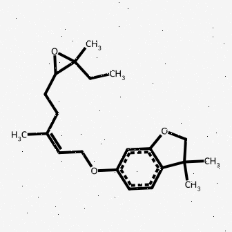 CCC1(C)OC1CCC(C)=CCOc1ccc2c(c1)OCC2(C)C